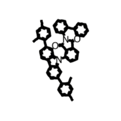 Cc1ccc(-c2ccc3c4ccc(-c5ccc(C)cc5C)cc4n(-c4cccc5c4C(=O)N(c4ccccc4-c4ccccc4)C5=O)c3c2)c(C)c1